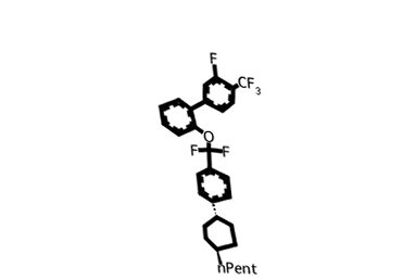 CCCCC[C@H]1CC[C@H](c2ccc(C(F)(F)Oc3ccccc3-c3ccc(C(F)(F)F)c(F)c3)cc2)CC1